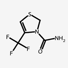 NC(=O)N1CSC=C1C(F)(F)F